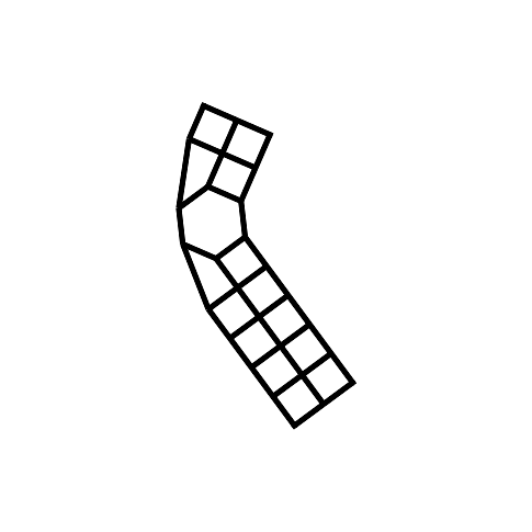 C1C2CC3C4C5C6C(C7C1C23C74)C1C2C3C4CC7CC8C9C%10C5C61C2%10C39C748